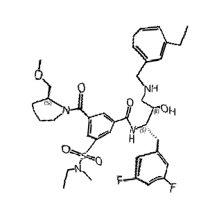 CCc1cccc(CNC[C@@H](O)[C@H](Cc2cc(F)cc(F)c2)NC(=O)c2cc(C(=O)N3CCC[C@H]3COC)cc(S(=O)(=O)N(C)CC)c2)c1